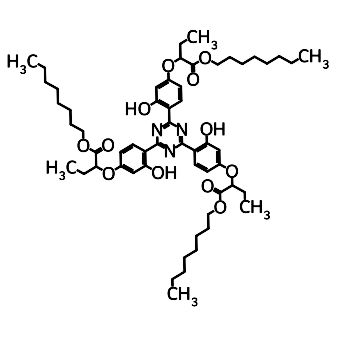 CCCCCCCCOC(=O)C(CC)Oc1ccc(-c2nc(-c3ccc(OC(CC)C(=O)OCCCCCCCC)cc3O)nc(-c3ccc(OC(CC)C(=O)OCCCCCCCC)cc3O)n2)c(O)c1